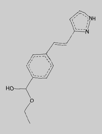 CCOC(O)c1ccc(/C=C/c2cc[nH]n2)cc1